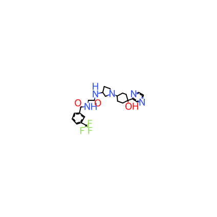 O=C(CNC(=O)c1cccc(C(F)(F)F)c1)NC1CCN(C2CCC(O)(c3cnccn3)CC2)C1